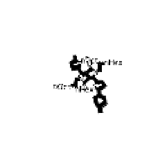 CCCCCCCCC(CCCCCC)CN1C(=O)C2C(=C1c1ccc(C)s1)C(=O)N(CC(CCCCCC)CCCCCCCC)C2c1ccc(-c2ccc(C)cc2)s1